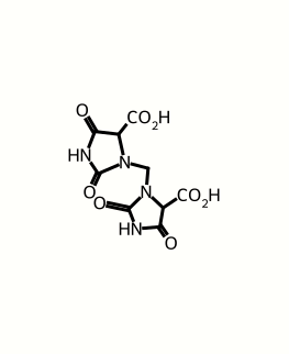 O=C(O)C1C(=O)NC(=O)N1CN1C(=O)NC(=O)C1C(=O)O